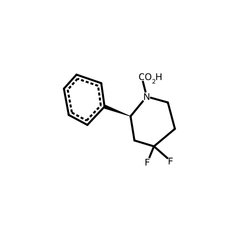 O=C(O)N1CCC(F)(F)C[C@H]1c1ccccc1